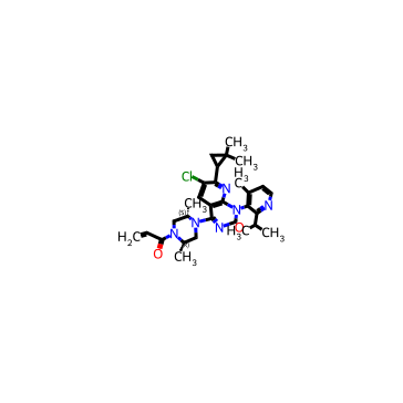 C=CC(=O)N1C[C@H](C)N(c2nc(=O)n(-c3c(C)ccnc3C(C)C)c3nc(C4CC4(C)C)c(Cl)cc23)C[C@H]1C